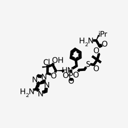 CC(C)[C@H](N)C(=O)OCC(C)(C)C(=O)SCCOP(=O)(NCc1ccccc1)OC[C@H]1O[C@@H](n2cnc3c(N)ncnc32)[C@](C)(Cl)C1O